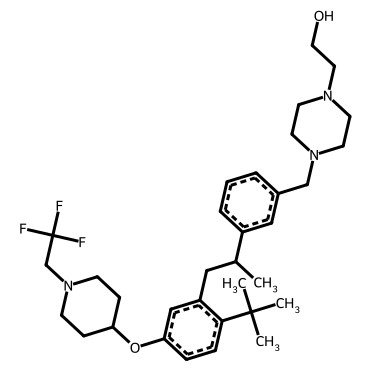 CC(Cc1cc(OC2CCN(CC(F)(F)F)CC2)ccc1C(C)(C)C)c1cccc(CN2CCN(CCO)CC2)c1